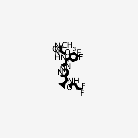 Cc1nonc1C(=O)N[C@H](c1cn2ncc([C@H](NC(=O)CCC(F)F)C3CC3)cc2n1)C1CCC(F)(F)CC1